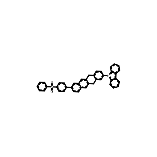 O=S(=O)(c1ccccc1)c1ccc(-c2ccc3cc4c(cc3c2)Cc2ccc(-n3c5ccccc5c5ccccc53)cc2C4)cc1